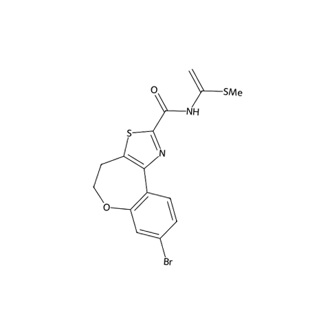 C=C(NC(=O)c1nc2c(s1)CCOc1cc(Br)ccc1-2)SC